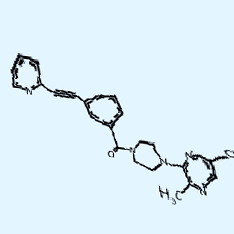 Cc1cnc(C)c(N2CCN(C(=O)c3cccc(C#Cc4ccccn4)c3)CC2)n1